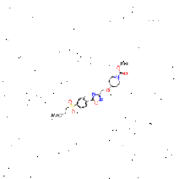 COCCS(=O)(=O)c1ccc(-c2nc(COC3CCN(C(=O)OC(C)(C)C)CC3)no2)cc1